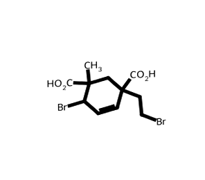 CC1(C(=O)O)CC(CCBr)(C(=O)O)C=CC1Br